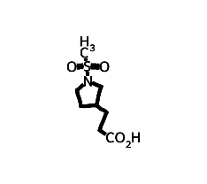 CS(=O)(=O)N1CCC(CCC(=O)O)C1